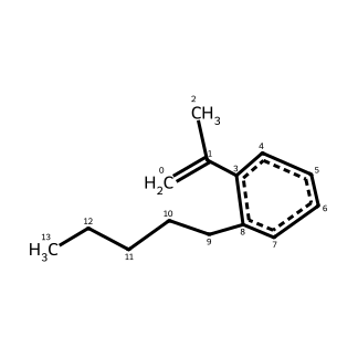 C=C(C)c1ccccc1CCCCC